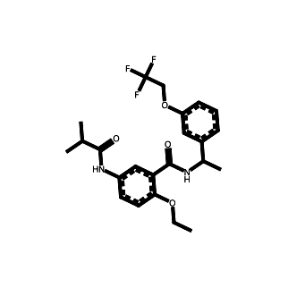 CCOc1ccc(NC(=O)C(C)C)cc1C(=O)NC(C)c1cccc(OCC(F)(F)F)c1